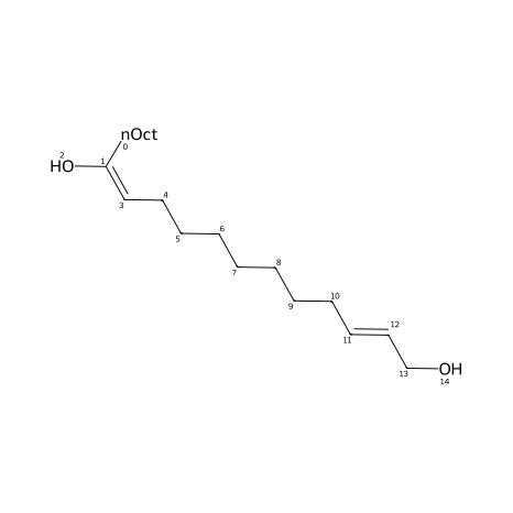 CCCCCCCC/C(O)=C\CCCCCCCC=CCO